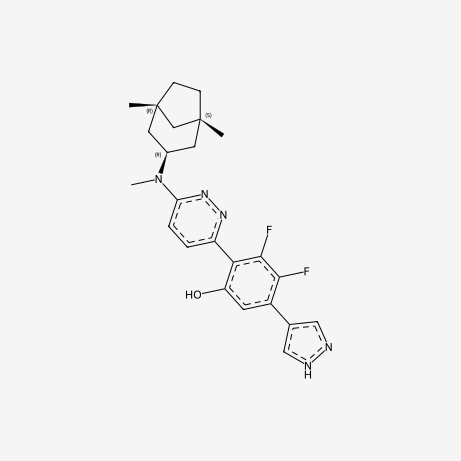 CN(c1ccc(-c2c(O)cc(-c3cn[nH]c3)c(F)c2F)nn1)[C@H]1C[C@]2(C)CC[C@](C)(C1)C2